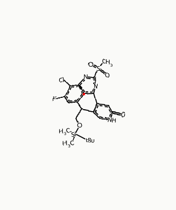 CC(C)(C)[Si](C)(C)OCC(c1ccc(Cl)c(F)c1)c1c[nH]c(=O)cc1-c1ccnc(S(C)(=O)=O)n1